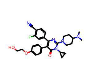 CN(C)C1CCN(c2nc(-c3ccc(C#N)c(F)c3)c(-c3ccc(OCCO)cc3)c(=O)n2C2CC2)CC1